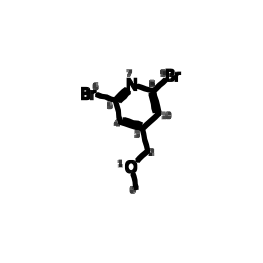 COCc1cc(Br)nc(Br)c1